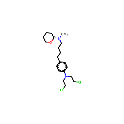 CON(CCCCc1ccc(N(CCCl)CCCl)cc1)[C@H]1CCCCO1